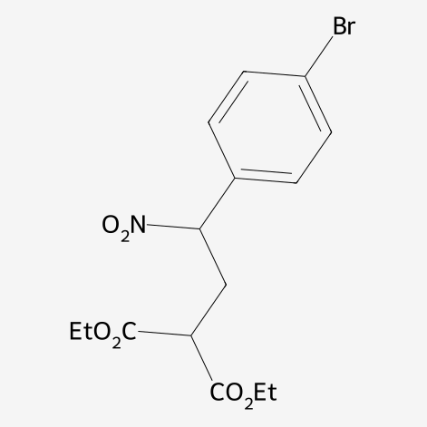 CCOC(=O)C(CC(c1ccc(Br)cc1)[N+](=O)[O-])C(=O)OCC